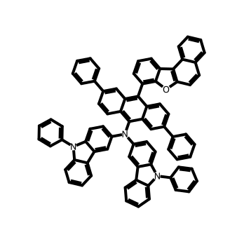 c1ccc(-c2ccc3c(N(c4ccc5c(c4)c4ccccc4n5-c4ccccc4)c4ccc5c(c4)c4ccccc4n5-c4ccccc4)c4cc(-c5ccccc5)ccc4c(-c4cccc5c4oc4ccc6ccccc6c45)c3c2)cc1